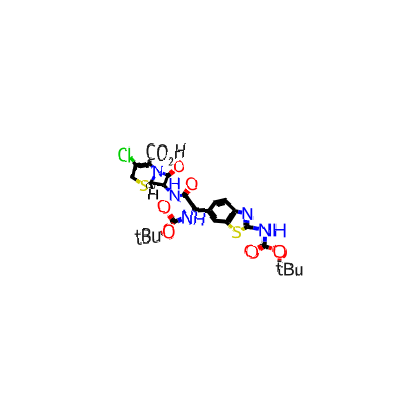 CC(C)(C)OC(=O)Nc1nc2ccc(C(NC(=O)OC(C)(C)C)C(=O)NC3C(=O)N4C(C(=O)O)=C(Cl)CS[C@@H]34)cc2s1